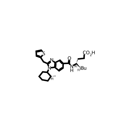 CC[C@H](C)[C@@H](CCC(=O)O)NC(=O)c1ccc2c(c1)nc(Cc1cccs1)n2C1CCCC[C@H]1C